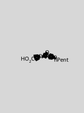 CCCCCOc1ccc(N2CC(COc3ccc(C(=O)O)cc3)CC2=O)cc1